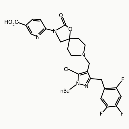 CCCCn1nc(Cc2cc(F)c(F)cc2F)c(CN2CCC3(CC2)CN(c2ccc(C(=O)O)cn2)C(=O)O3)c1Cl